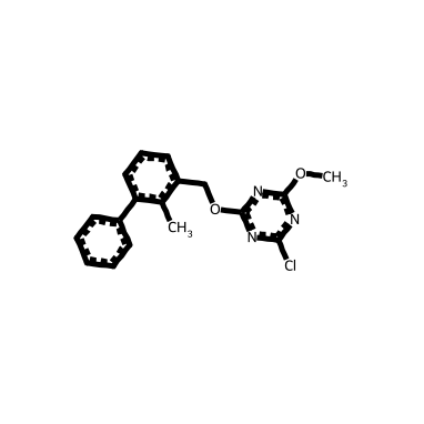 COc1nc(Cl)nc(OCc2cccc(-c3ccccc3)c2C)n1